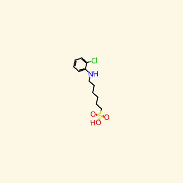 O=S(=O)(O)CCCCCCNc1ccccc1Cl